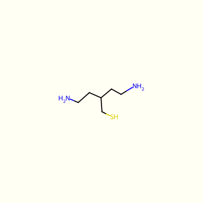 NCCC(CS)CCN